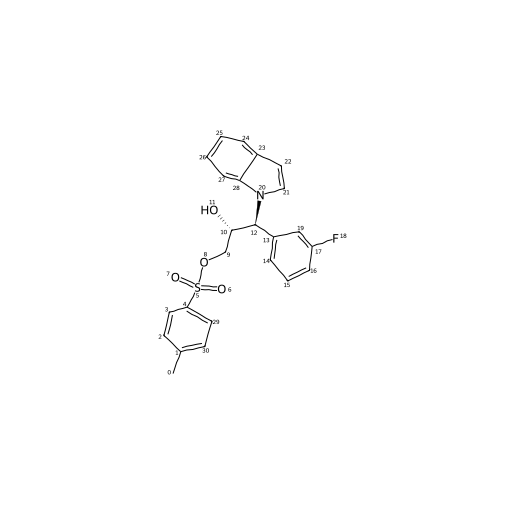 Cc1ccc(S(=O)(=O)OC[C@H](O)[C@H](c2cccc(F)c2)n2ccc3ccccc32)cc1